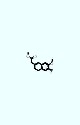 COC(=O)CC1=Cc2cc(SC)c(F)cc2CC1